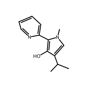 CC(C)c1cn(C)c(-c2ccccn2)c1O